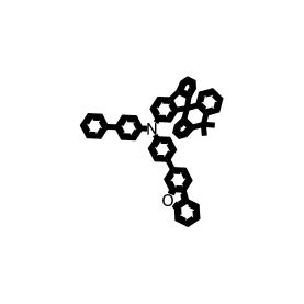 CC1(C)c2ccccc2C2(c3ccccc3-c3ccc(N(c4ccc(-c5ccccc5)cc4)c4ccc(-c5ccc6c(c5)oc5ccccc56)cc4)cc32)c2ccccc21